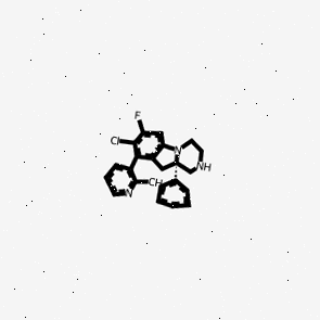 Cc1ncccc1-c1c(Cl)c(F)cc2c1C[C@]1(c3ccccc3)CNCCN21